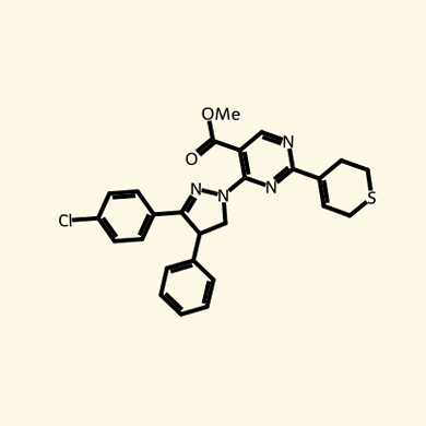 COC(=O)c1cnc(C2=CCSCC2)nc1N1CC(c2ccccc2)C(c2ccc(Cl)cc2)=N1